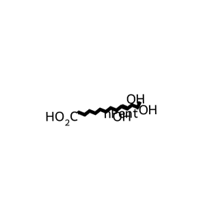 CCCCC[C@](C)(O)[C@@H](O)/C=C/[C@@H](O)CCCCCCCC(=O)O